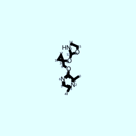 Cc1nc(I)cnc1OCC1(OC2NCCO2)CC1